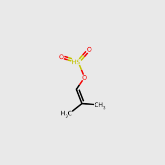 CC(C)=CO[SH](=O)=O